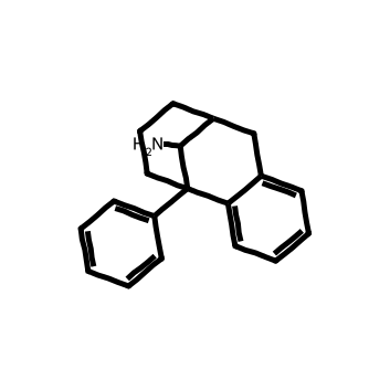 NC1C2CCCC1(c1ccccc1)c1ccccc1C2